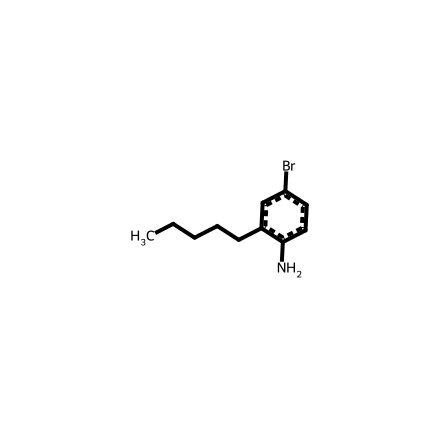 CCCCCc1cc(Br)ccc1N